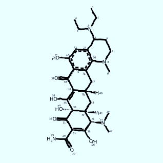 CCN(CC)C1CCN(C)c2c1cc(O)c1c2C[C@@H]2C[C@@H]3[C@@H](N(C)C)C(O)=C(C(N)=O)C(=O)[C@@]3(O)C(O)=C2C1=O